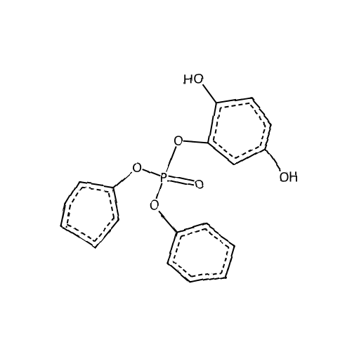 O=P(Oc1ccccc1)(Oc1ccccc1)Oc1cc(O)ccc1O